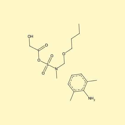 CCCCOCN(C)S(=O)(=O)OC(=O)CO.Cc1cccc(C)c1N